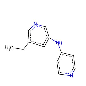 CCc1cncc(Nc2ccncc2)c1